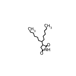 CCCCCCC(CCCCCC)C1CC(=O)NC1=O